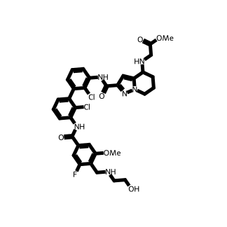 COC(=O)CNC1CCCn2nc(C(=O)Nc3cccc(-c4cccc(NC(=O)c5cc(F)c(CNCCO)c(OC)c5)c4Cl)c3Cl)cc21